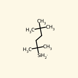 CC(C)(C)CCC(C)(C)[SiH2]